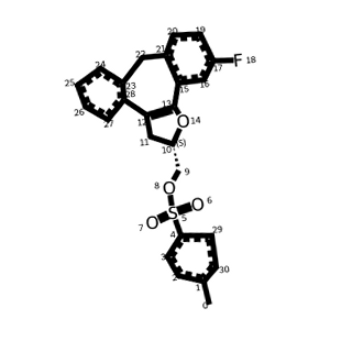 Cc1ccc(S(=O)(=O)OC[C@@H]2CC3=C(O2)c2cc(F)ccc2Cc2ccccc23)cc1